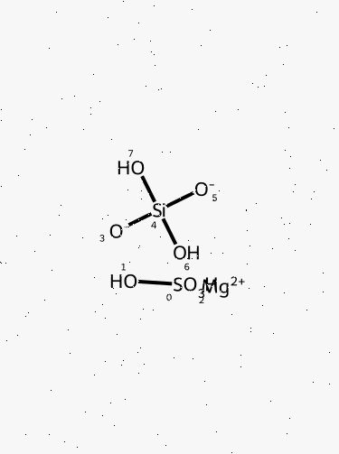 O=S(=O)(O)O.[Mg+2].[O-][Si]([O-])(O)O